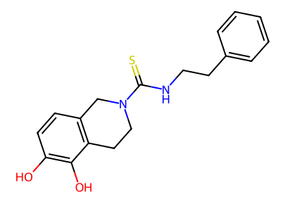 Oc1ccc2c(c1O)CCN(C(=S)NCCc1ccccc1)C2